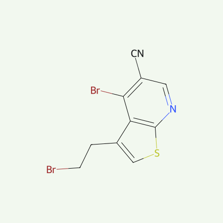 N#Cc1cnc2scc(CCBr)c2c1Br